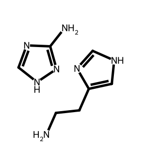 NCCc1c[nH]cn1.Nc1nc[nH]n1